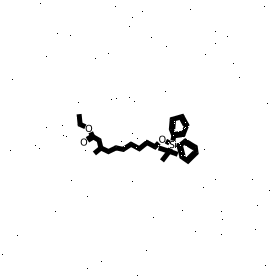 CCOC(=O)CC(C)CCCCCCCO[Si](c1ccccc1)(c1ccccc1)C(C)(C)C